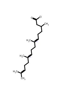 CC(C)=CCC/C(C)=C/CC/C(C)=C/CCC(C)CC(=O)Cl